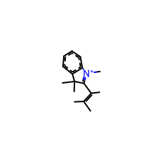 CC(C)=C(C)C1=[N+](C)c2ccccc2C1(C)C